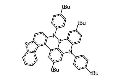 CC(C)(C)c1ccc(N2B3c4cc(C(C)(C)C)ccc4N(c4ccc(C(C)(C)C)cc4)c4cc(C(C)(C)C)cc(c43)-c3c2ccc2sc4ccccc4c32)cc1